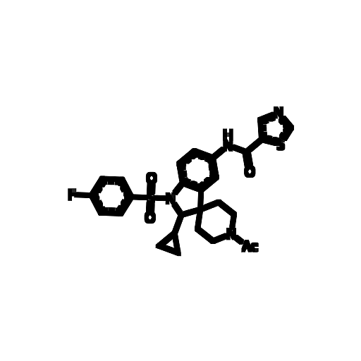 CC(=O)N1CCC2(CC1)c1cc(NC(=O)c3cncs3)ccc1N(S(=O)(=O)c1ccc(F)cc1)C2C1CC1